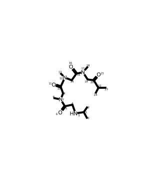 CC(C)NCC(=O)N(C)CC(=O)N(C)CC(=O)N(C)CC(=O)C(C)C